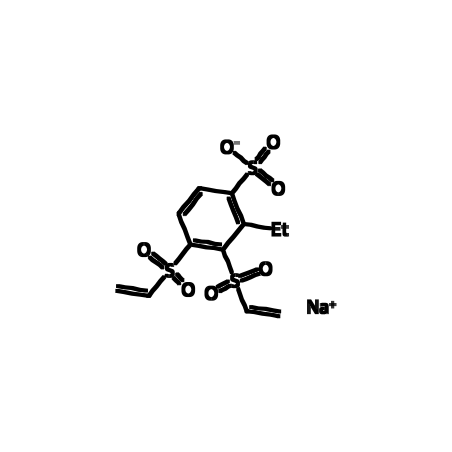 C=CS(=O)(=O)c1ccc(S(=O)(=O)[O-])c(CC)c1S(=O)(=O)C=C.[Na+]